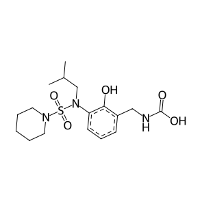 CC(C)CN(c1cccc(CNC(=O)O)c1O)S(=O)(=O)N1CCCCC1